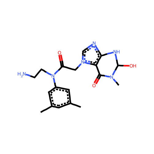 Cc1cc(C)cc(N(CCN)C(=O)Cn2cnc3c2C(=O)N(C)C(O)N3)c1